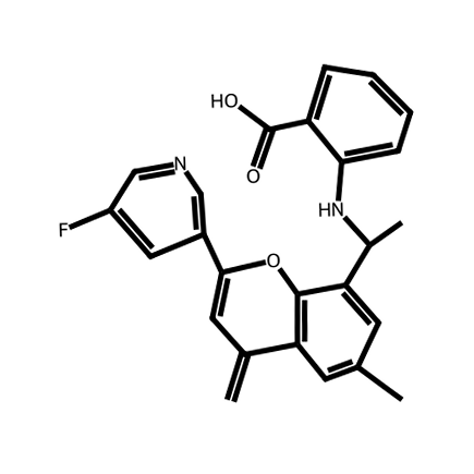 C=C1C=C(c2cncc(F)c2)Oc2c1cc(C)cc2C(C)Nc1ccccc1C(=O)O